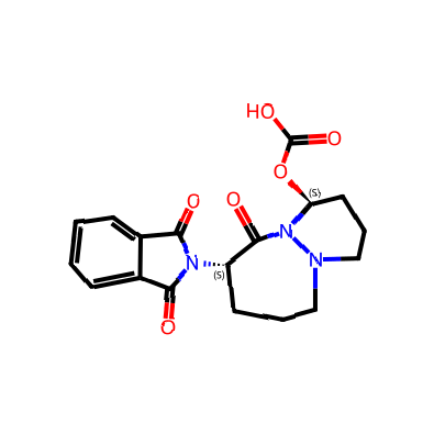 O=C(O)O[C@H]1CCCN2CCC[C@H](N3C(=O)c4ccccc4C3=O)C(=O)N12